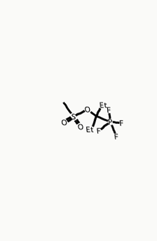 CCC(CC)(OS(C)(=O)=O)P(F)(F)(F)F